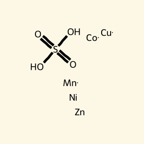 O=S(=O)(O)O.[Co].[Cu].[Mn].[Ni].[Zn]